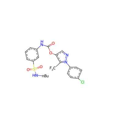 CCCCNS(=O)(=O)c1cccc(NC(=O)Oc2cnn(-c3ccc(Cl)cc3)c2C(F)(F)F)c1